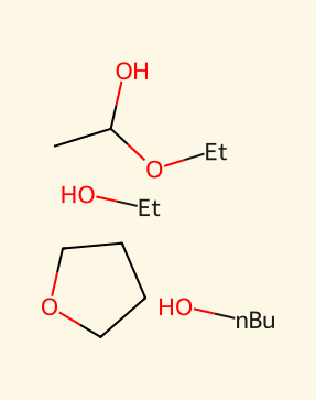 C1CCOC1.CCCCO.CCO.CCOC(C)O